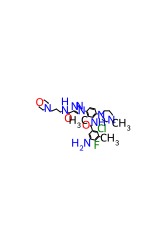 Cc1c(F)c(N)cc(C(=O)Nc2c(N3CCCN(C)CC3)ccc(-n3cc(C(=O)NCCCN4CCOCC4)nn3)c2C)c1Cl